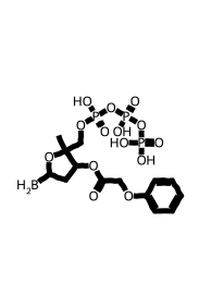 BC1CC(OC(=O)COc2ccccc2)C(C)(COP(=O)(O)OP(=O)(O)OP(=O)(O)O)O1